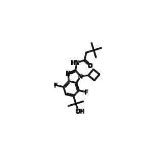 CC(C)(C)CC(=O)Nc1nc2c(F)cc(C(C)(C)O)c(F)c2n1C1CCC1